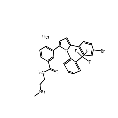 CNCCNC(=O)c1cccc(-c2ccc(-c3ccc(Br)cc3)n2-c2ccccc2C(F)(F)F)c1.Cl